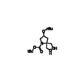 CCCCO[C@@H]1CN(C(=O)OC(C)(C)C)C(CO)(CO)C1